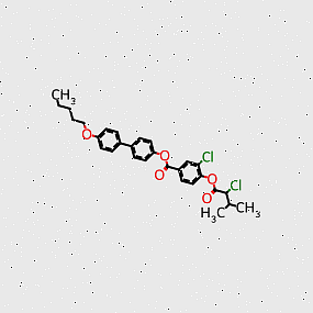 CCCCCOc1ccc(-c2ccc(OC(=O)c3ccc(OC(=O)C(Cl)C(C)C)c(Cl)c3)cc2)cc1